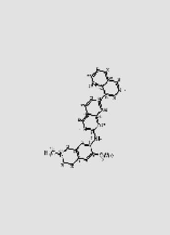 COc1cc2c(cc1Nc1ncc3ccc(-c4cncc5cccnc45)cc3n1)CN(C)CC2